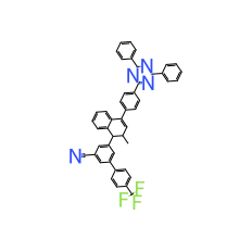 CC1C=C(c2ccc(-c3nc(-c4ccccc4)nc(-c4ccccc4)n3)cc2)c2ccccc2C1c1cc(C#N)cc(-c2ccc(C(F)(F)F)cc2)c1